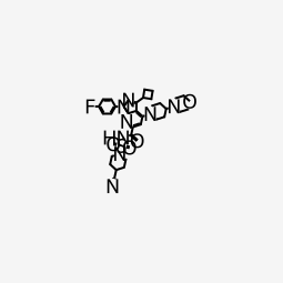 N#CC1CCN(S(=O)(=O)NC(=O)c2cc(N3CCC(N4CCOCC4)CC3)c3c(C4CCC4)nn(-c4ccc(F)cc4)c3n2)CC1